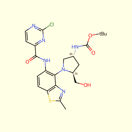 Cc1nc2c(N3C[C@H](NC(=O)OC(C)(C)C)C[C@H]3CO)c(NC(=O)c3ccnc(Cl)n3)ccc2s1